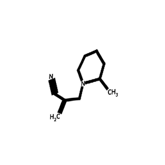 C=C(C#N)CN1CCCCC1C